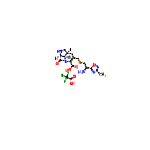 Cc1noc([C@@H](N)CSCC2=C(C(=O)O)N3C(=O)[C@H]4NC[C@@H](C2)[C@H]43)n1.O=C(O)C(F)(F)F